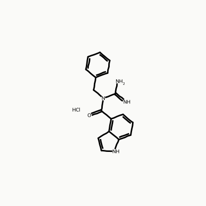 Cl.N=C(N)N(Cc1ccccc1)C(=O)c1cccc2[nH]ccc12